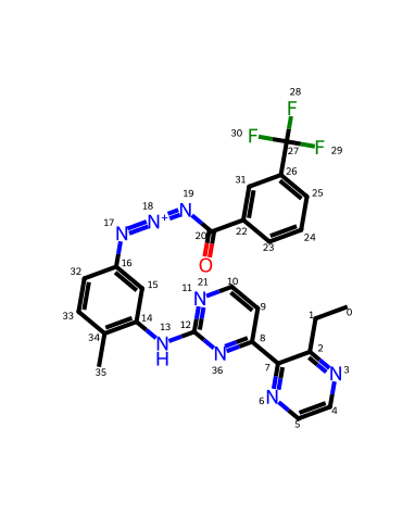 CCc1nccnc1-c1ccnc(Nc2cc(N=[N+]=NC(=O)c3cccc(C(F)(F)F)c3)ccc2C)n1